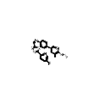 Cc1cc(-c2ccc3ncc4nnc(-c5ccc(F)cn5)n4c3c2)cnc1N